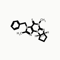 Cc1nc2c(n1Cc1ccccc1)C(=S)N(C)C1=N[C@@H]3CCC[C@@H]3N12